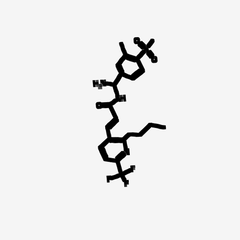 CCCCc1nc(C(F)(F)F)ccc1C=CC(=O)NC(N)c1ccc(S(C)(=O)=O)c(C)c1